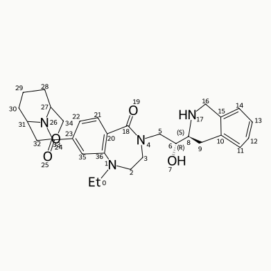 CCN1CCN(C[C@@H](O)[C@@H]2Cc3ccccc3CN2)C(=O)c2ccc(C(=O)N3C4CCCC3COC4)cc21